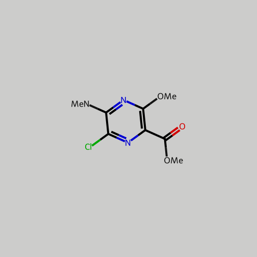 CNc1nc(OC)c(C(=O)OC)nc1Cl